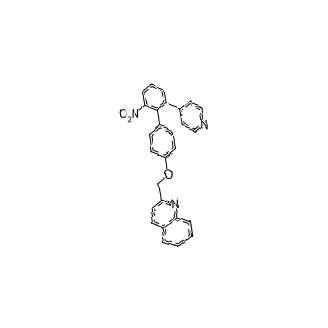 O=[N+]([O-])c1cccc(-c2ccncc2)c1-c1ccc(OCc2ccc3ccccc3n2)cc1